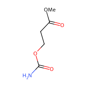 COC(=O)CCOC(N)=O